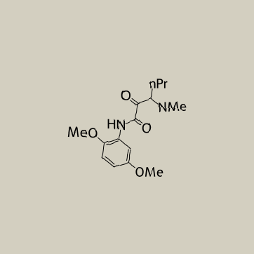 CCCC(NC)C(=O)C(=O)Nc1cc(OC)ccc1OC